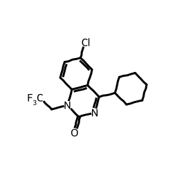 O=c1nc(C2CCCCC2)c2cc(Cl)ccc2n1CC(F)(F)F